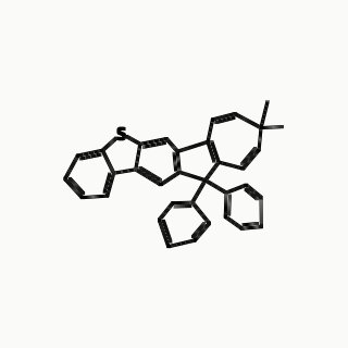 CC1(C)C=CC2=C(C=C1)C(c1ccccc1)(c1ccccc1)c1cc3c(cc12)sc1ccccc13